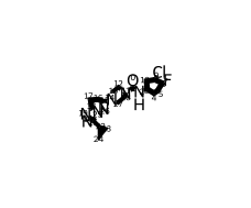 O=C(Nc1ccc(F)c(Cl)c1)N1CCN(c2ccc3nnc(C4CC4)n3n2)CC1